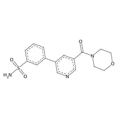 NS(=O)(=O)c1cccc(-c2cncc(C(=O)N3CCOCC3)c2)c1